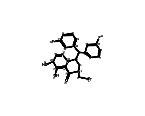 CC(C)CN1CC(C(c2cccc(F)c2)c2cccc(F)c2)N2N=CC(O)C(O)=C2C1=O